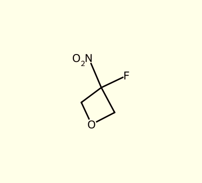 O=[N+]([O-])C1(F)COC1